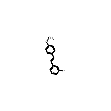 COc1ccc(C=Cc2cccc(Cl)c2)cc1